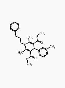 COC(=O)C1=C(C)N(CCCc2ccccc2)C(C)=C(C(=O)OC)C1c1cccc(C)c1